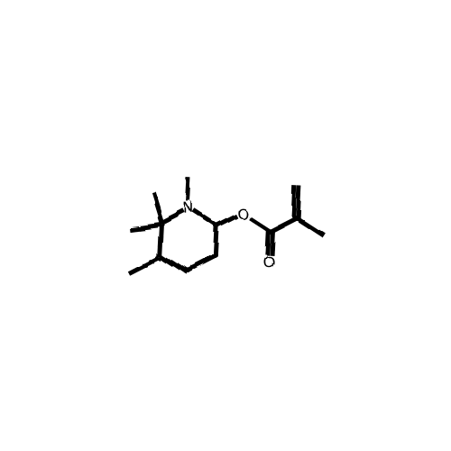 C=C(C)C(=O)OC1CCC(C)C(C)(C)N1C